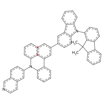 CC1(C)c2ccccc2-c2cccc(-n3c4ccccc4c4cc(-c5cccc(-c6ccccc6N(c6ccccc6)c6ccc7cnccc7c6)c5)ccc43)c21